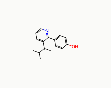 C[C](c1cccnc1-c1ccc(O)cc1)C(C)C